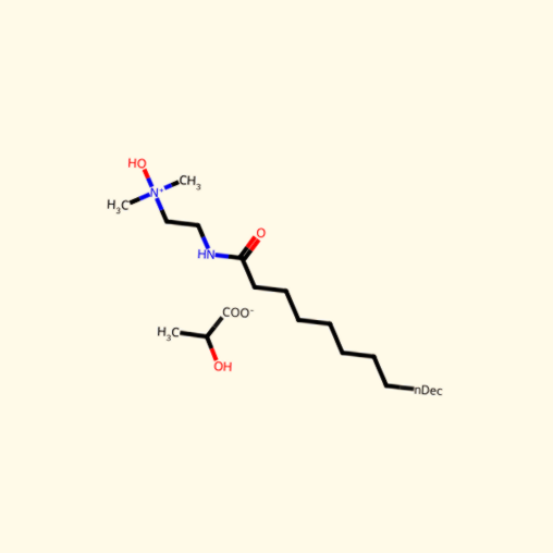 CC(O)C(=O)[O-].CCCCCCCCCCCCCCCCCC(=O)NCC[N+](C)(C)O